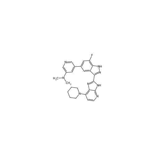 CN(C)c1cncc(-c2cc(F)c3[nH]nc(-c4nc5c(N6CCCCC6)ccnc5[nH]4)c3c2)c1